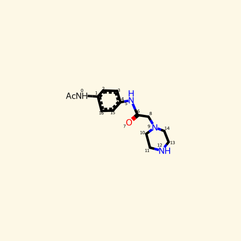 CC(=O)Nc1ccc(NC(=O)CN2CCNCC2)cc1